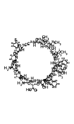 CCCC[C@H]1C(=O)N(C)[C@@H](CCCC)C(=O)N[C@@H](CC(C)C)C(=O)NCCCCC(=O)N[C@@H](Cc2ccc(F)cc2)C(=O)N2CCCC[C@H]2C(=O)N[C@@H](CC(N)=O)C(=O)N2CCC[C@H]2C(=O)N[C@@H](CN)C(=O)N[C@@H](CCC(=O)O)C(=O)N2C[C@H](O)C[C@H]2C(=O)N[C@@H](Cc2c[nH]c3ccccc23)C(=O)N[C@@H](CCN)C(=O)N[C@@H](Cc2cn(CC(=O)O)c3ccccc23)C(=O)N1C